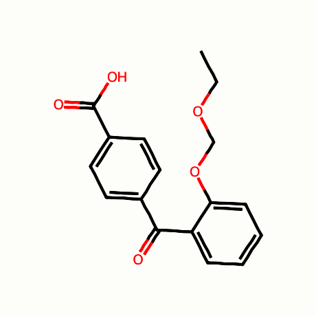 CCOCOc1ccccc1C(=O)c1ccc(C(=O)O)cc1